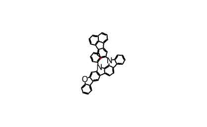 c1ccc(-n2c3cc4oc5ccccc5c4cc3c3ccc4c5ccccc5n(-c5ccc6c(c5)-c5cccc7cccc-6c57)c4c32)cc1